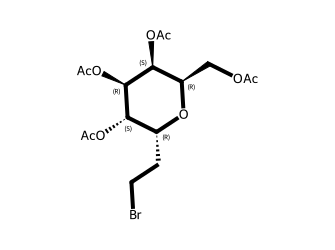 CC(=O)OC[C@H]1O[C@H](CCBr)[C@H](OC(C)=O)[C@@H](OC(C)=O)[C@H]1OC(C)=O